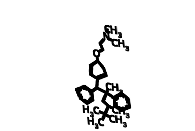 CC(CC(C)(c1ccccc1)C(C1=CCC(OCCN(C)C)C=C1)c1ccccc1)C(C)(C)C